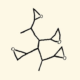 CC(C1CO1)C(C1CO1)C(C1CO1)C(C)C1CO1